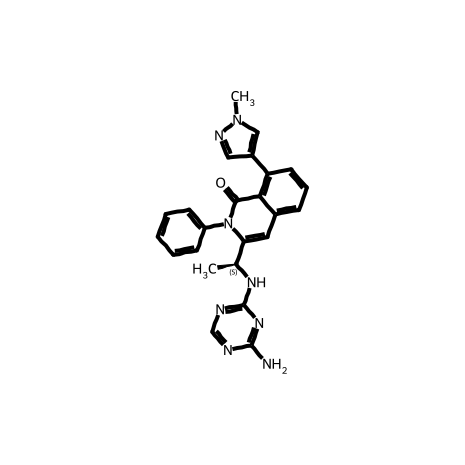 C[C@H](Nc1ncnc(N)n1)c1cc2cccc(-c3cnn(C)c3)c2c(=O)n1-c1ccccc1